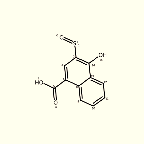 O=[S+]c1cc(C(=O)O)c2ccccc2c1O